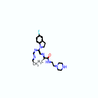 C/C=N/C=N\C(=C\N=C(/C)C(=O)NCCN1CCNCC1)N1CCc2cc(F)ccc21